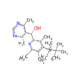 Cc1nc(C(O)c2c(C)ncnc2C)c(C)c([Si](C)(C)C(C)(C)C)c1C